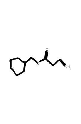 C=CCC(=O)OCC1CCCCC1